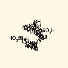 O=S(=O)(O)OCCS(=O)(=O)c1ccc(Nc2nc(Cl)nc(NCCSc3nc(Cl)nc(Nc4cc(S(=O)(=O)O)cc5cc(SOOO)c(/N=N/c6ccc7ccccc7c6S(=O)(=O)O)c(O)c45)n3)n2)cc1